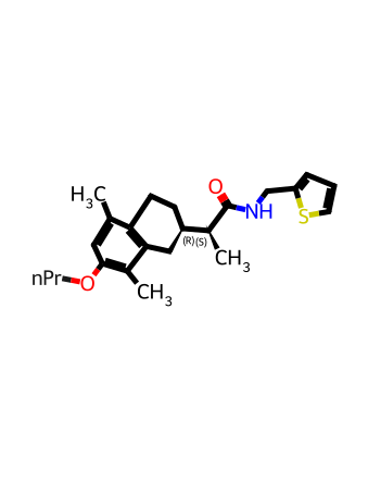 CCCOc1cc(C)c2c(c1C)C[C@H]([C@H](C)C(=O)NCc1cccs1)CC2